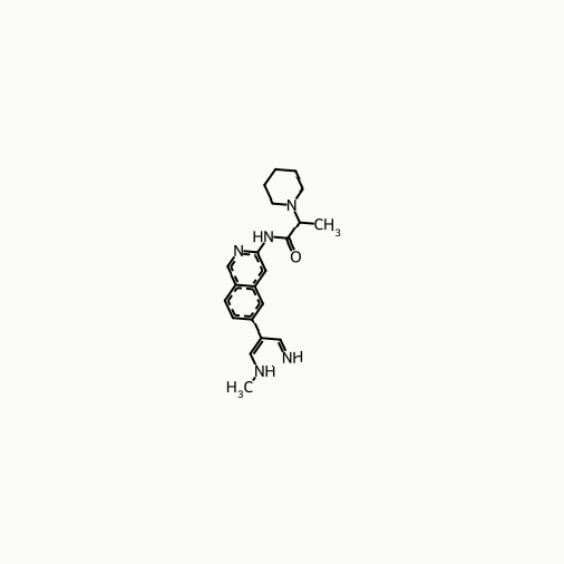 CN/C=C(\C=N)c1ccc2cnc(NC(=O)C(C)N3CCCCC3)cc2c1